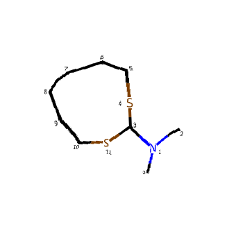 CN(C)C1SCCCCCCS1